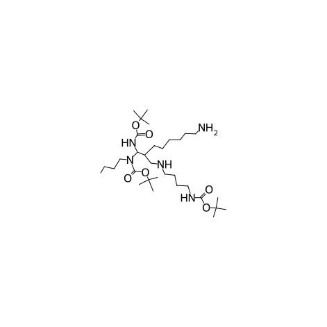 CCCCN(C(=O)OC(C)(C)C)C(NC(=O)OC(C)(C)C)C(CCCCCCN)CNCCCCNC(=O)OC(C)(C)C